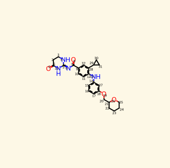 O=C1CCN/C(=N\C(=O)c2ccc(Nc3cccc(OCC4CCCCO4)c3)c(C3CC3)c2)N1